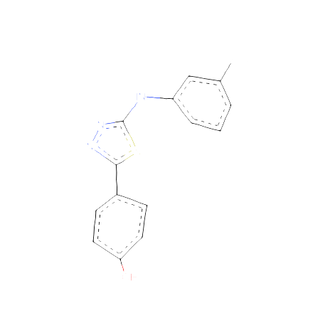 Oc1ccc(-c2nnc(Nc3cccc(C(F)(F)F)c3)s2)cc1